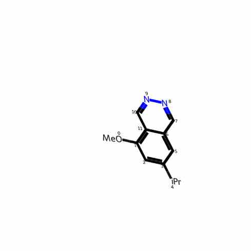 COc1cc(C(C)C)cc2cnncc12